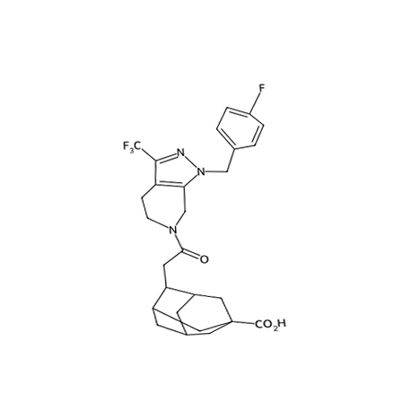 O=C(CC1C2CC3CC1CC(C(=O)O)(C3)C2)N1CCc2c(C(F)(F)F)nn(Cc3ccc(F)cc3)c2C1